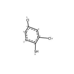 Sc1ncc(Cl)cc1Cl